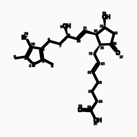 Cc1sc(C)c(CC[C@H](O)C=C[C@H]2[C@H](O)CC(=O)[C@@H]2CC=CCCCC(=O)O)c1Br